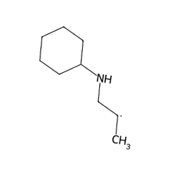 C[CH]CNC1CCCCC1